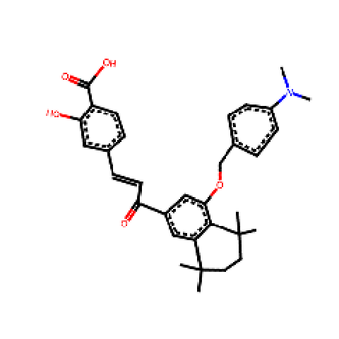 CN(C)c1ccc(COc2cc(C(=O)/C=C/c3ccc(C(=O)O)c(O)c3)cc3c2C(C)(C)CCC3(C)C)cc1